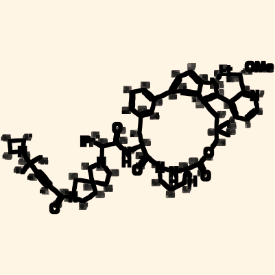 CCn1c(-c2cccnc2[C@H](C)OC)c2c3cc(ccc31)-c1cccc(c1)C[C@H](NC(=O)C(C(C)C)N1CC[C@]3(CCN(C(=O)C#CC(C)(C)N4CCC4)C3)C1)C(=O)N1CCC[C@H](N1)C(=O)OCC(C)(C)C2